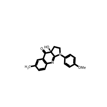 COc1ccc(N2CC[C@@]3(O)C(=O)c4cc(C)ccc4N=C23)cc1